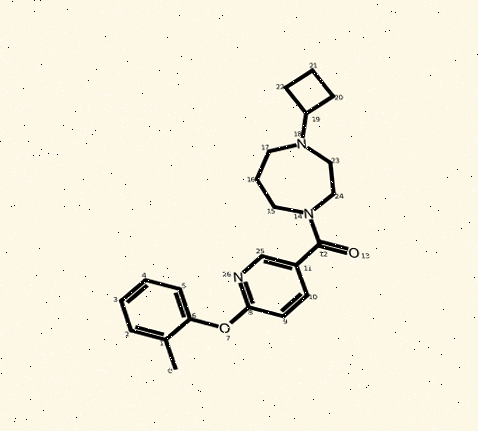 Cc1ccccc1Oc1ccc(C(=O)N2CCCN(C3CCC3)CC2)cn1